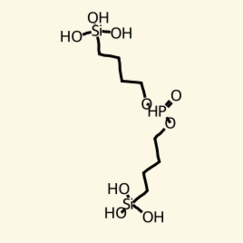 O=[PH](OCCCC[Si](O)(O)O)OCCCC[Si](O)(O)O